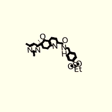 CCS(=O)(=O)c1ccc(CNC(=O)c2ccc3c(n2)CC[C@@](C)(c2cc(C)nc(C)n2)C3=O)cc1